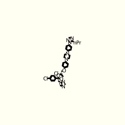 CCCc1ncnn1-c1ccc(N2CCN(c3ccc(OC[C@@H]4CO[C@@](Cn5cncn5)(c5ccc(Cl)cc5Cl)O4)cc3)CC2)cc1